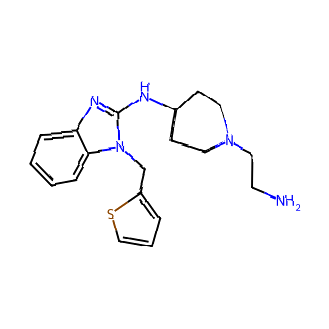 NCCN1CCC(Nc2nc3ccccc3n2Cc2cccs2)CC1